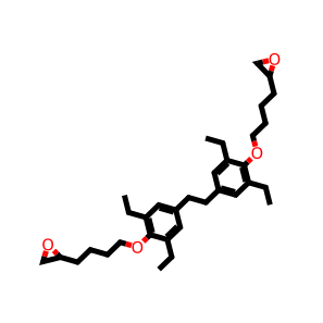 CCc1cc(CCc2cc(CC)c(OCCCCC3CO3)c(CC)c2)cc(CC)c1OCCCCC1CO1